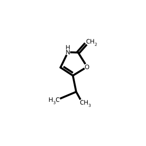 C=C1NC=C(C(C)C)O1